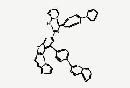 C1=CC2=C(c3ccc(-c4ccccc4)cc3)N=C(c3cc(-c4ccc(-c5ccc6ccccc6c5)cc4)c4c(c3)oc3ccc5ccccc5c34)NC2C=C1